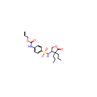 C=CCOC(=O)Nc1ccc(S(=O)(=O)NC2COC(=O)C2(CCC)CCC)cc1